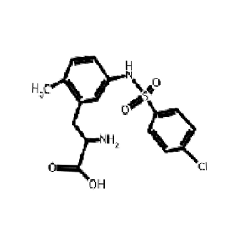 Cc1ccc(NS(=O)(=O)c2ccc(Cl)cc2)cc1CC(N)C(=O)O